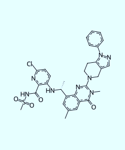 Cc1cc([C@@H](C)Nc2ccc(Cl)nc2C(=O)NS(C)(=O)=O)c2nc(N3CCc4c(cnn4-c4ccccc4)C3)n(C)c(=O)c2c1